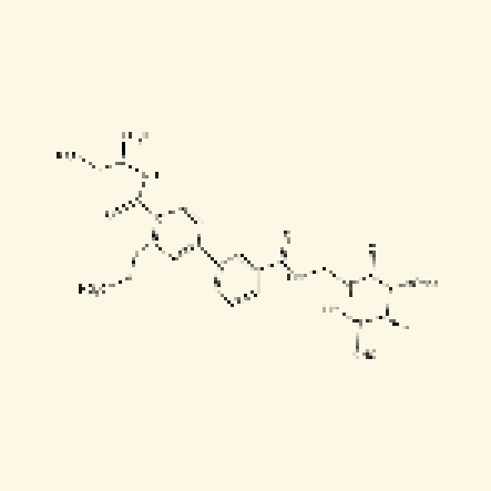 CCCCC[C@@H](C(=O)NCNC(=O)c1cccc(-c2ccc(C(=O)N[C@@H](CC(=O)O)C(=O)O)c(OCC(=O)O)c2)c1)[C@@H](CC)N(O)C=O